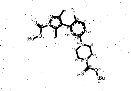 Cc1nn(C(=O)OC(C)(C)C)c(C)c1-c1nc(N2CCN(C(=O)OC(C)(C)C)CC2)ncc1F